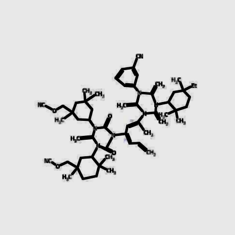 C=C/C=C(\C=C(/C)N1C(=C)N(c2cccc(C#N)c2)C(=C)N(C2CC(C)(CC)CCC2(C)C)C1=C)N1C(=O)N(C2CC(C)(C)CC(C)(COC#N)C2)C(=C)N(C2CC(C)(COC#N)CCC2(C)C)C1=O